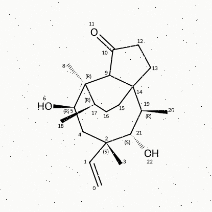 C=C[C@]1(C)C[C@@H](O)[C@@]2(C)C3C(=O)CCC3(CC[C@H]2C)[C@@H](C)[C@@H]1O